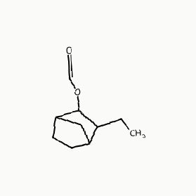 CCC1C2CCC(C2)C1OC=O